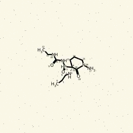 CCCN[C@]1([PH](=O)NC(=O)NCC)CCCN(N)C1=O